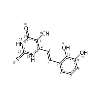 N#Cc1c(/C=C/c2cccc(O)c2O)[nH]c(=S)[nH]c1=O